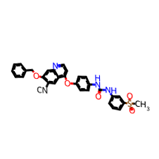 [C-]#[N+]c1cc2c(Oc3ccc(NC(=O)Nc4cccc(S(C)(=O)=O)c4)cc3)ccnc2cc1OCc1ccccc1